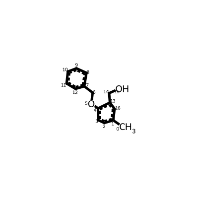 Cc1ccc(OCc2ccccc2)c(CO)c1